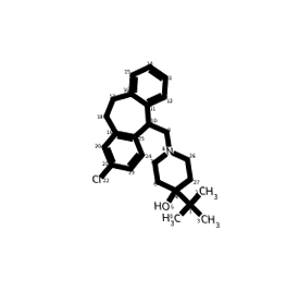 CC(C)(C)C1(O)CCN(CC2c3ccccc3CCc3cc(Cl)ccc32)CC1